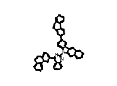 c1ccc2cc3c(cc2c1)c1cc(-c2ccc4c(ccc5ccccc54)c2)ccc1n3-c1nc(-c2ccc3ccc4ccccc4c3c2)c2ccccc2n1